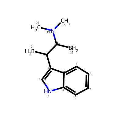 BC(c1c[nH]c2ccccc12)C(B)N(C)C